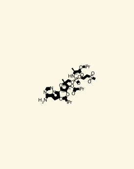 CC(C)OC(=O)[C@H](C)NP(=O)(OCCS(C)(=O)=O)OC[C@@]1(C)O[C@@H](c2ccc3c(N)ncnn23)[C@H](OC(=O)C(C)C)[C@@H]1OC(=O)C(C)C